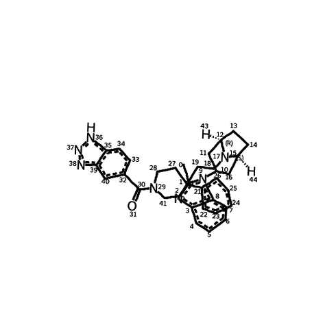 Cc1nc2ccccc2n1C1C[C@H]2CC[C@@H](C1)N2CCC1(c2ccccc2)CCN(C(=O)c2ccc3[nH]nnc3c2)CC1